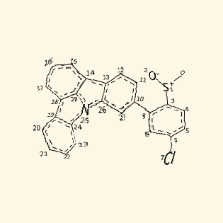 C[S+]([O-])c1ccc(Cl)cc1-c1ccc2c3cccc4c5ccccc5n(c2c1)c43